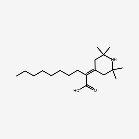 CCCCCCCCC(C(=O)O)=C1CC(C)(C)NC(C)(C)C1